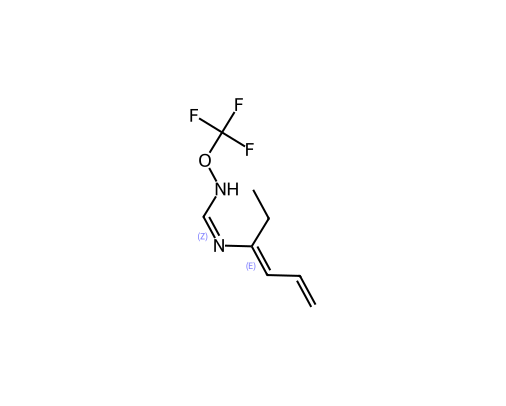 C=C/C=C(CC)/N=C\NOC(F)(F)F